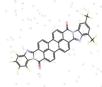 O=c1c2ccc3c4ccc5c6c(ccc(c7ccc(c2c73)c2nc3c(C(F)(F)F)cc(C(F)(F)F)cc3n12)c46)c(=O)n1c5nc2c(F)c(F)c(F)c(F)c21